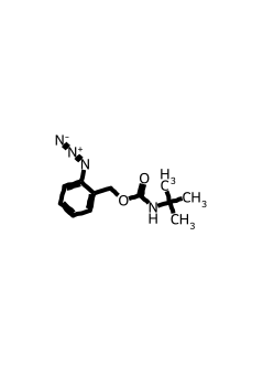 CC(C)(C)NC(=O)OCc1ccccc1N=[N+]=[N-]